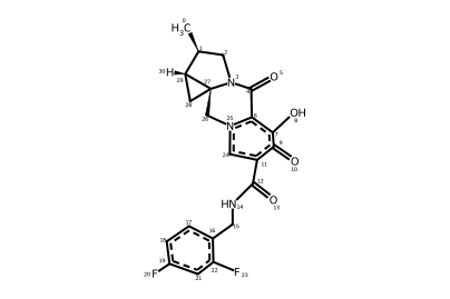 C[C@H]1CN2C(=O)c3c(O)c(=O)c(C(=O)NCc4ccc(F)cc4F)cn3C[C@]23C[C@H]13